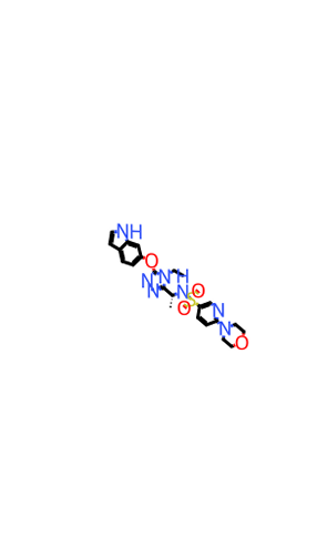 CCn1c(Oc2ccc3cc[nH]c3c2)nnc1[C@@H](C)NS(=O)(=O)c1ccc(N2CCOCC2)nc1